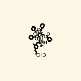 Cc1cc(CCCC=O)ccc1Cc1c(O[C@@H]2O[C@H](COC(=O)c3ccccc3)[C@@H](OC(=O)c3ccccc3)[C@H](OC(=O)c3ccccc3)[C@H]2CC(=O)c2ccccc2)n[nH]c1C(C)C